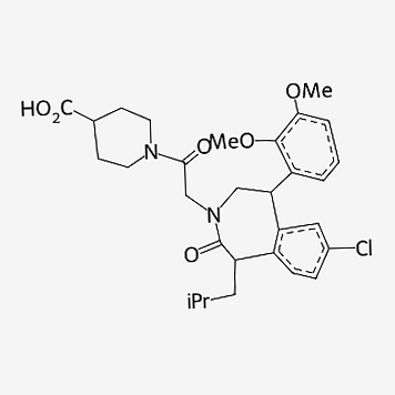 COc1cccc(C2CN(CC(=O)N3CCC(C(=O)O)CC3)C(=O)C(CC(C)C)c3ccc(Cl)cc32)c1OC